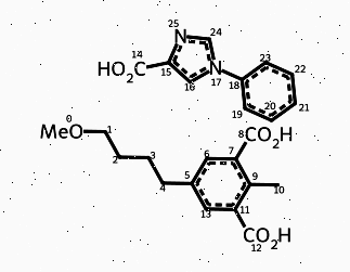 COCCCCc1cc(C(=O)O)c(C)c(C(=O)O)c1.O=C(O)c1cn(-c2ccccc2)cn1